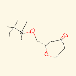 CC(C)(C)[Si](C)(C)OC[C@@H]1CC(=O)CCO1